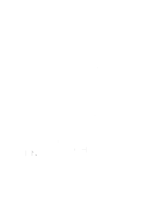 Cc1ccc(OC[C@H](O)CN)c(F)c1F